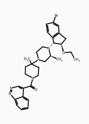 CCO[C@@H]1Cc2cc(Br)ccc2[C@H]1N1CCN(C2(C)CCN(C(=O)c3cnnc4ccccc34)CC2)C[C@@H]1C